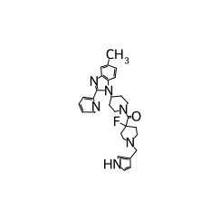 Cc1ccc2c(c1)nc(-c1ccccn1)n2C1CCN(C(=O)C2(F)CCN(Cc3cc[nH]c3)CC2)CC1